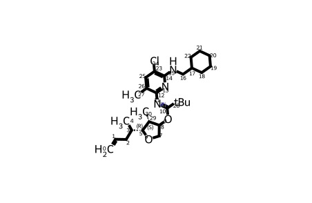 C=CCC(C)[C@H]1OCC(O/C(=N/c2nc(NCC3CCCCC3)c(Cl)cc2C)C(C)(C)C)[C@H]1C